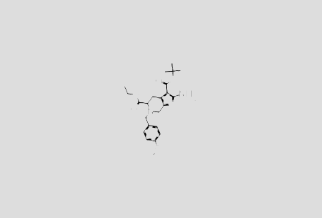 CCOC(=O)C1Cc2c(sc(N)c2C(=O)OC(C)(C)C)CN1Cc1ccc(OC)cc1